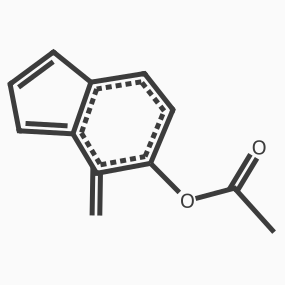 C=c1c(OC(C)=O)ccc2c1=CC=C2